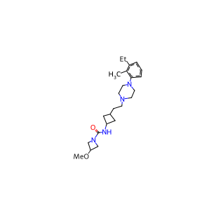 CCc1cccc(N2CCN(CCC3CC(NC(=O)N4CC(OC)C4)C3)CC2)c1C